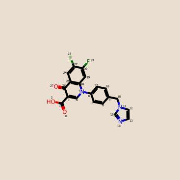 O=C(O)c1cn(-c2ccc(Cn3ccnc3)cc2)c2cc(F)c(F)cc2c1=O